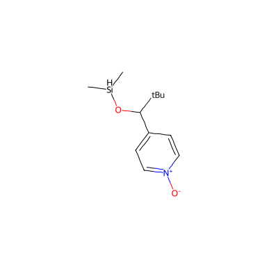 C[SiH](C)OC(c1cc[n+]([O-])cc1)C(C)(C)C